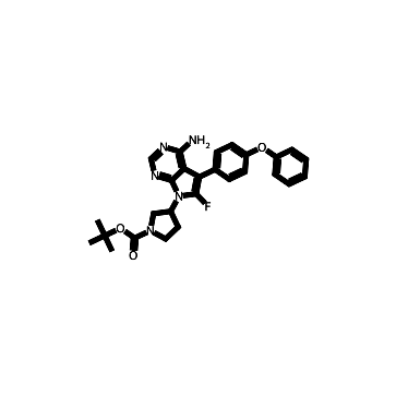 CC(C)(C)OC(=O)N1CCC(n2c(F)c(-c3ccc(Oc4ccccc4)cc3)c3c(N)ncnc32)C1